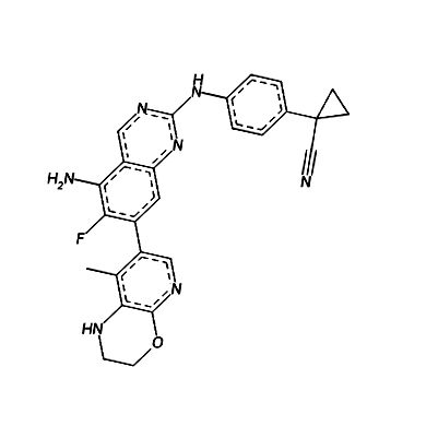 Cc1c(-c2cc3nc(Nc4ccc(C5(C#N)CC5)cc4)ncc3c(N)c2F)cnc2c1NCCO2